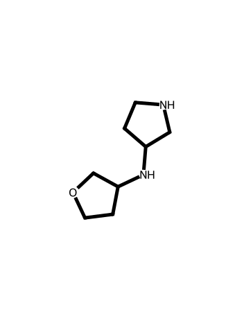 C1CC(NC2CCOC2)CN1